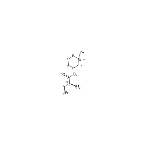 CC(C)C[C@H](N)C(=O)OC1CCCC(C)(C(C)C)C1